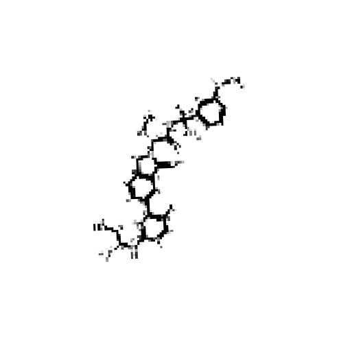 COc1cccc(C(C)(C)NC(=O)[C@@H](CO)N2Cc3ccc(-c4nc(N[C@@H](C)CO)ncc4Cl)cc3C2=O)c1